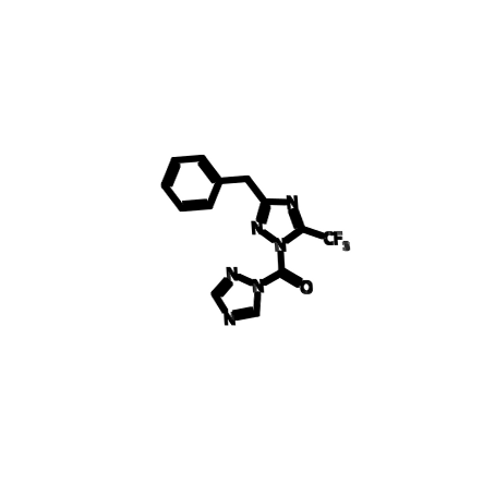 O=C(n1cncn1)n1nc(Cc2ccccc2)nc1C(F)(F)F